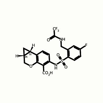 O=C(O)c1c(NS(=O)(=O)c2ccc(F)cc2CNC(=O)C(F)(F)F)ccc2c1OC[C@@H]1C[C@H]21